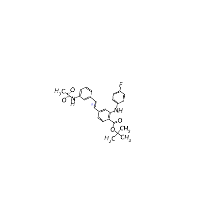 CC(C)(C)OC(=O)c1ccc(/C=C/c2cccc(NS(C)(=O)=O)c2)cc1Nc1ccc(F)cc1